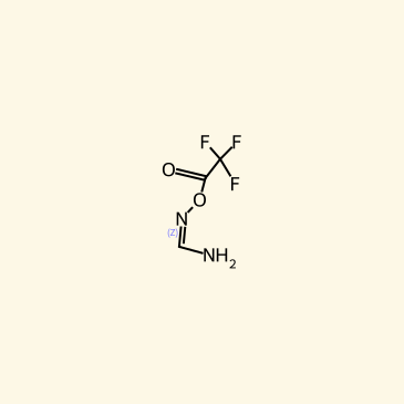 N/C=N\OC(=O)C(F)(F)F